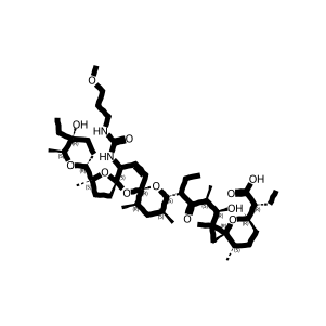 CCC(C(=O)[C@@H](C)[C@@H](O)C1(C)C[C@]12O[C@@H]([C@@H](CC)C(=O)O)CC[C@@H]2C)[C@H]1O[C@]2(C=CC(NC(=O)NCCCOC)[C@]3(CC[C@@](C)([C@H]4CC[C@](O)(CC)[C@H](C)O4)O3)O2)[C@H](C)C[C@@H]1C